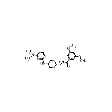 COc1cc(OC)cc(C(=O)NC[C@H]2CC[C@@H](Nc3nccc(N(C)C)n3)CC2)c1